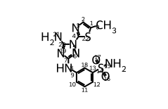 Cc1cnc(-n2nc(Nc3cccc(S(N)(=O)=O)c3)nc2N)s1